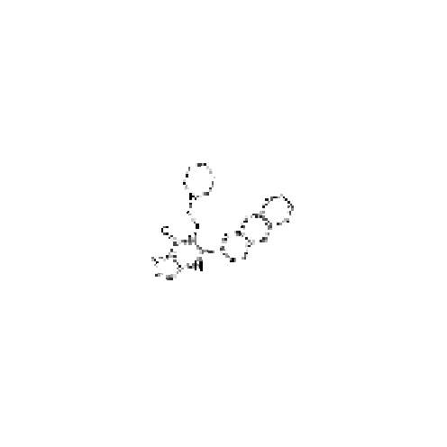 O=c1c2sccc2nc(-c2ccc3cc4ccccc4cc3c2)n1CCN1CCCCC1